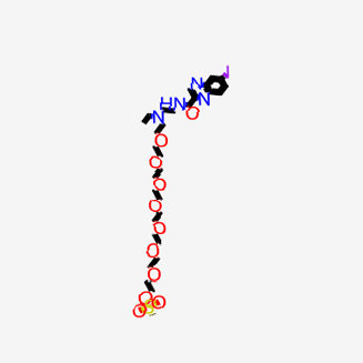 CCN(CCNC(=O)c1cnc2cc(I)ccc2n1)CCOCCOCCOCCOCCOCCOCCOCCOS(C)(=O)=O